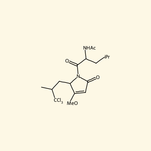 COC1=CC(=O)N(C(=O)C(CC(C)C)NC(C)=O)C1CC(C)C(Cl)(Cl)Cl